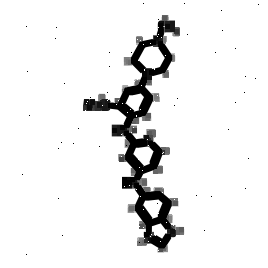 COc1cc(N2CCN(C)CC2)ccc1Nc1cc(Nc2ccc3scnc3c2)ccn1